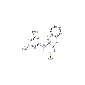 CC(=O)SCC(Cc1ccccc1)C(=O)Nc1cc(C(=O)O)cc(C(F)(F)F)c1